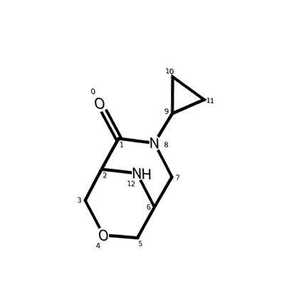 O=C1C2COCC(CN1C1CC1)N2